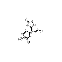 CCC=CC(=C1NC(=O)CS1)c1ccc(O)c(CC)c1